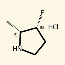 C[C@H]1NCC[C@H]1F.Cl